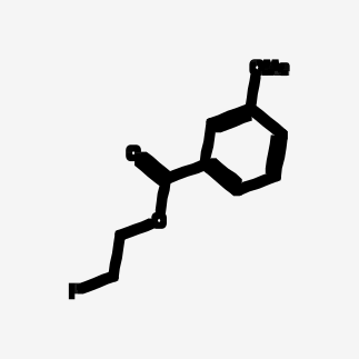 COc1cccc(C(=O)OCCF)c1